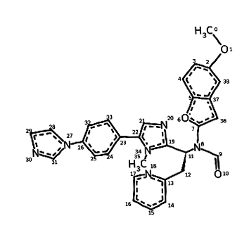 COc1ccc2oc(N(C=O)[C@@H](Cc3ccccn3)c3ncc(-c4ccc(-n5ccnc5)cc4)n3C)cc2c1